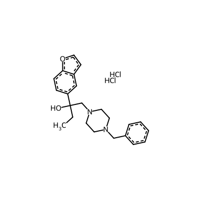 CCC(O)(CN1CCN(Cc2ccccc2)CC1)c1ccc2occc2c1.Cl.Cl